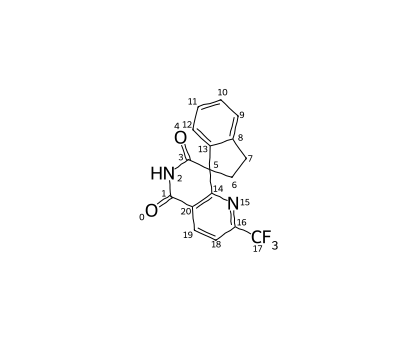 O=C1NC(=O)C2(CCc3ccccc32)c2nc(C(F)(F)F)ccc21